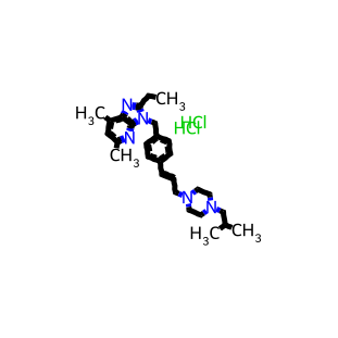 CCc1nc2c(C)cc(C)nc2n1Cc1ccc(/C=C/CN2CCN(CC(C)C)CC2)cc1.Cl.Cl